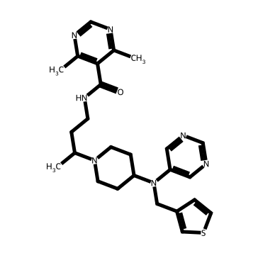 Cc1ncnc(C)c1C(=O)NCCC(C)N1CCC(N(Cc2ccsc2)c2cncnc2)CC1